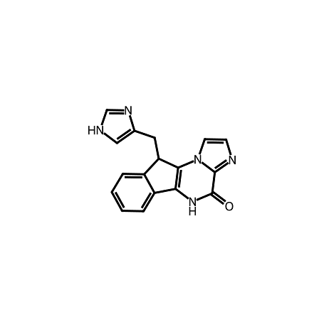 O=c1[nH]c2c(n3ccnc13)C(Cc1c[nH]cn1)c1ccccc1-2